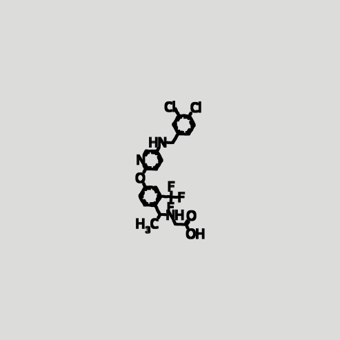 CC(NCC(=O)O)c1ccc(Oc2ccc(NCc3ccc(Cl)c(Cl)c3)cn2)cc1C(F)(F)F